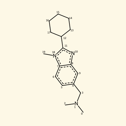 CN(C)Cc1ccc2c(c1)nc(C1CCCCC1)n2C